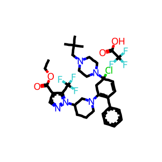 CCOC(=O)c1cnn(C2CCCN(C3=C(c4ccccc4)C=CC(Cl)(N4CCN(CC(C)(C)C)CC4)C3)C2)c1C(F)(F)F.O=C(O)C(F)(F)F